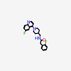 O=C(Cc1ccccc1F)NCC1CCN(c2ccnc3ccc(F)cc23)CC1